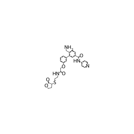 NCc1ccc(C(=O)Nc2ccncc2)cc1-c1cccc(OCC(=O)NCCSC2CCOC2=O)c1